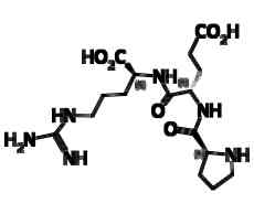 N=C(N)NCCC[C@H](NC(=O)[C@H](CCC(=O)O)NC(=O)[C@@H]1CCCN1)C(=O)O